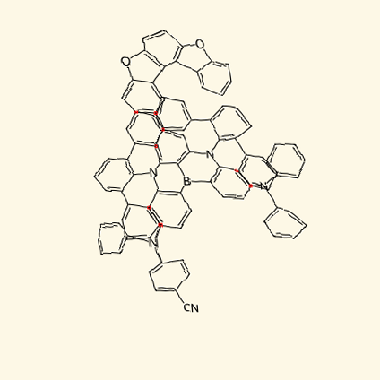 N#Cc1ccc(N(c2ccccc2)c2ccc3c(c2)N(c2c(-c4ccccc4)cccc2-c2ccccc2)c2cc(-c4ccc5oc6ccc7oc8ccccc8c7c6c5c4)cc4c2B3c2ccc(N(c3ccccc3)c3ccccc3)cc2N4c2c(-c3ccccc3)cccc2-c2ccccc2)cc1